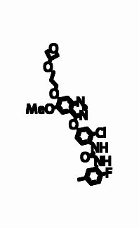 COc1cc2c(Oc3ccc(NC(=O)Nc4cc(C)ccc4F)c(Cl)c3)ncnc2cc1OCCCOC1COC1